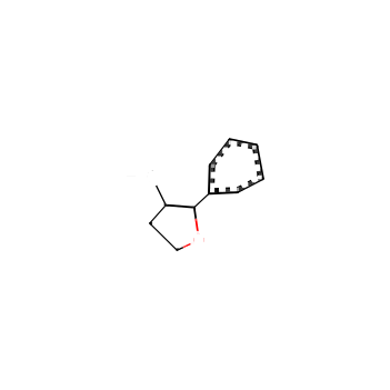 CC1CCOC1c1ccccc1